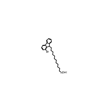 CCCCCCCCCCCCCCCCCCCCCCC1c2ccccc2-c2cccc(Br)c21